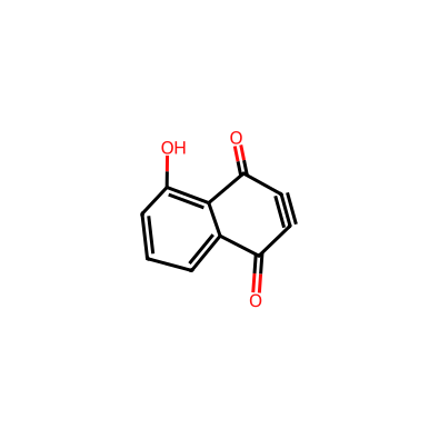 O=C1C#CC(=O)c2c(O)cccc21